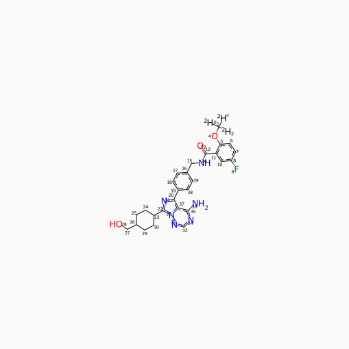 [2H]C([2H])([2H])Oc1ccc(F)cc1C(=O)NCc1ccc(-c2nc(C3CCC(CO)CC3)n3ncnc(N)c23)cc1